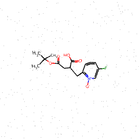 CC(C)(C)OC(=O)CC(Cc1ccc(F)c[n+]1[O-])C(=O)O